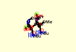 CCCCNC(=N)NC(=O)CCc1ccc(-c2ccc(CN3CCN(CC(C)C)CC3)cc2)c(OCCCOC)c1.CCCCNC(=N)NC(=O)CCc1ccc(-c2ccc(CN3CCN(CCCOC)CC3)cc2)c(OCCCOC)c1.O=C(O)C(F)(F)F.O=C(O)C(F)(F)F